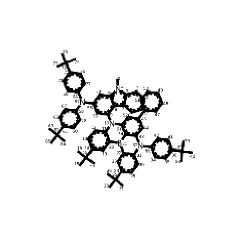 Cn1c2ccccc2c2c(N3c4ccc(C(C)(C)C)cc4B4c5cc(C(C)(C)C)ccc5N(c5ccc(C(C)(C)C)cc5)c5cc(-c6ccccc6)cc3c54)cc(N(c3ccc(C(C)(C)C)cc3)c3ccc(C(C)(C)C)cc3)cc21